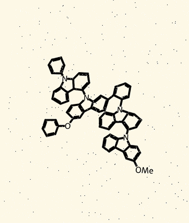 COc1ccc2c(c1)c1ccccc1n2-c1cccc2c1c1ccccc1n2-c1ccccc1-c1ccc2c3cc(Oc4ccccc4)ccc3n(C3=CC=CC4C3c3ccccc3N4c3ccccc3)c2c1